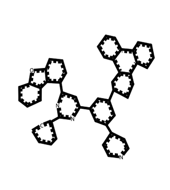 c1ccc(-c2nc(-c3cc(-c4ccncc4)cc(-c4ccc5c6ccccc6c6ccccc6c5c4)c3)cc(-c3cccc4oc5ccccc5c34)n2)cc1